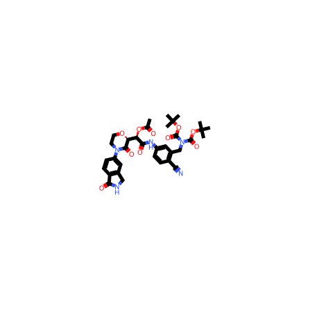 CC(=O)O[C@@H](C(=O)Nc1ccc(C#N)c(CN(C(=O)OC(C)(C)C)C(=O)OC(C)(C)C)c1)[C@H]1OCCN(c2ccc3c(c2)CNC3=O)C1=O